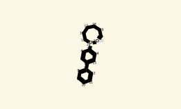 C1=P\P(c2ccc(-c3ccccc3)cc2)CCCCC/1